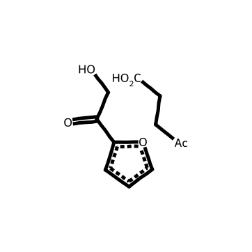 CC(=O)CCC(=O)O.O=C(CO)c1ccco1